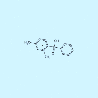 Cc1ccc(P(=O)(O)c2ccccc2)c(C)c1